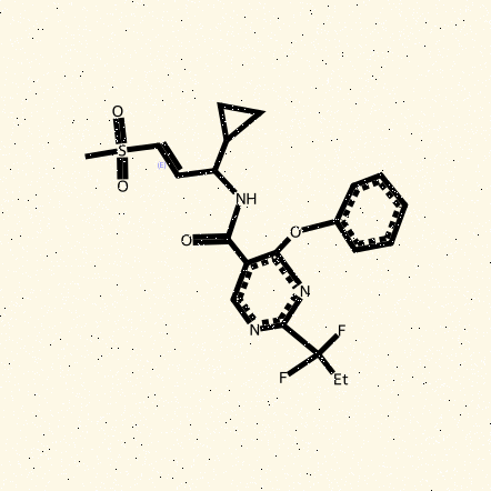 CCC(F)(F)c1ncc(C(=O)NC(/C=C/S(C)(=O)=O)C2CC2)c(Oc2ccccc2)n1